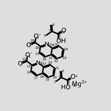 C=C(C)C(=O)O.C=C(C)C(=O)O.O=C([O-])c1ccc2ccccc2n1.O=C([O-])c1ccc2ccccc2n1.[Mg+2]